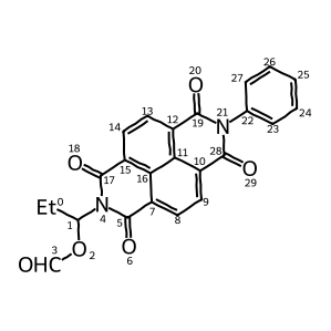 CCC(OC=O)N1C(=O)c2ccc3c4c(ccc(c24)C1=O)C(=O)N(c1ccccc1)C3=O